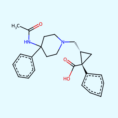 CC(=O)NC1(c2ccccc2)CCN(C[C@@H]2C[C@@]2(C(=O)O)c2ccccc2)CC1